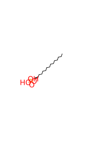 CCCCCCCCCCCCCC=COP(=O)(O)O